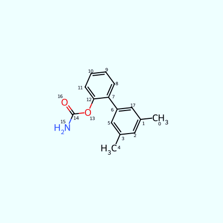 Cc1cc(C)cc(-c2ccccc2OC(N)=O)c1